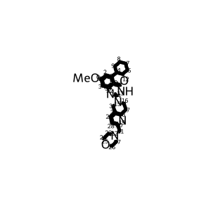 COc1cc(C2CCCCC2)c2c(=O)[nH]c(N3CCc4nc(CN5CCOCC5)ccc4C3)nc2c1